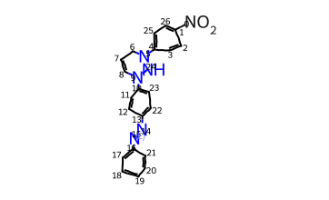 O=[N+]([O-])c1ccc(N2CC=CN(c3ccc(/N=N/c4ccccc4)cc3)N2)cc1